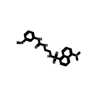 CSc1cccc(NC(=O)NCCNS(=O)(=O)c2cccc3c(N(C)C)cccc23)c1